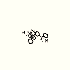 N#CC=C(c1ccccc1)c1ccc2nc(N)n(S(=O)(=O)c3ccccc3)c2c1